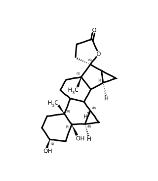 C[C@]12CCC3C(C1[C@@H]1CC1[C@@]21CCC(=O)O1)[C@H]1C[C@H]1[C@]1(O)C[C@@H](O)CC[C@]31C